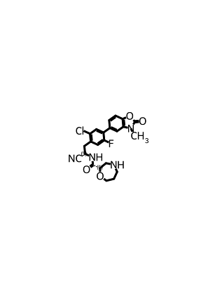 Cn1c(=O)oc2ccc(-c3cc(Cl)c(C[C@@H](C#N)NC(=O)[C@@H]4CNCCCO4)cc3F)cc21